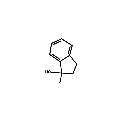 [CH2]C1(O)CCc2ccccc21